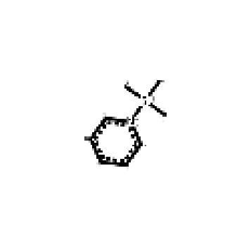 C[Si](C)(C)[n+]1ccccc1